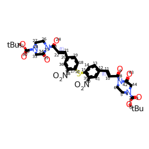 CC(C)(C)OC(=O)N1CCN(C(=O)/C=C/c2ccc(Sc3ccc(/C=C/C(=O)N4CCN(C(=O)OC(C)(C)C)CC4=O)cc3[N+](=O)[O-])c([N+](=O)[O-])c2)C(=O)C1